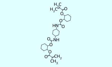 C=C(C)C(=O)OC1CCCCC1OC(=O)NC1CCC(NC(=O)OC2CCCCC2OC(=O)C(=C)C)CC1